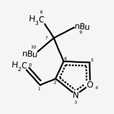 C=Cc1nocc1C(C)(CCCC)CCCC